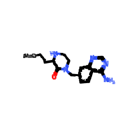 COCCC1NCCN(Cc2ccc3c(N)ncnc3c2)C1=O